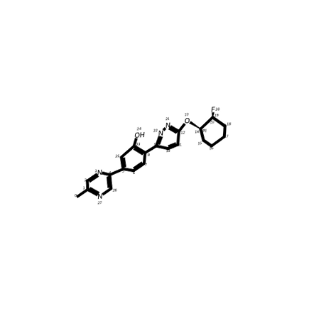 Cc1cnc(-c2ccc(-c3ccc(O[C@@H]4CCCC[C@@H]4F)nn3)c(O)c2)cn1